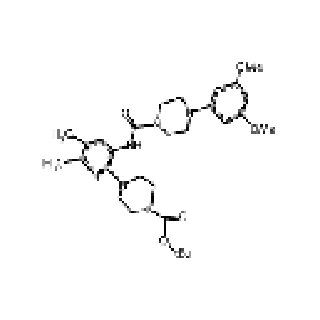 COc1cc(OC)cc(N2CCN(C(=O)Nc3cc(C)c(C)nc3N3CCN(C(=O)OC(C)(C)C)CC3)CC2)c1